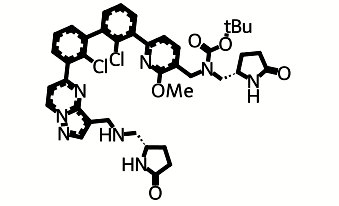 COc1nc(-c2cccc(-c3cccc(-c4ccn5ncc(CNC[C@@H]6CCC(=O)N6)c5n4)c3Cl)c2Cl)ccc1CN(C[C@@H]1CCC(=O)N1)C(=O)OC(C)(C)C